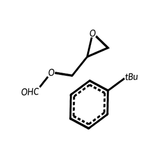 CC(C)(C)c1ccccc1.O=COCC1CO1